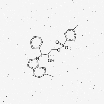 Cc1ccc(S(=O)(=O)OCC(O)C(c2ccccc2)n2ccc3ccc(C)cc32)cc1